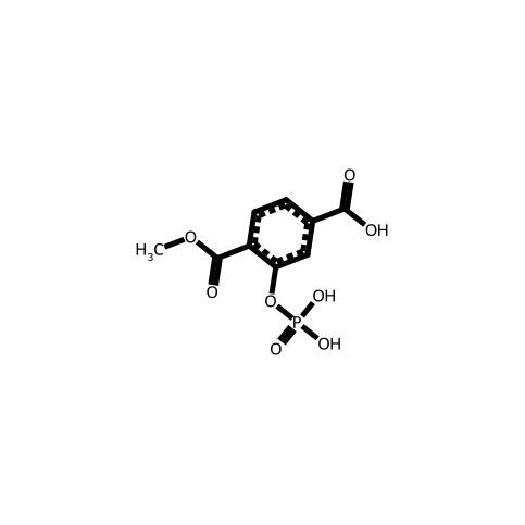 COC(=O)c1ccc(C(=O)O)cc1OP(=O)(O)O